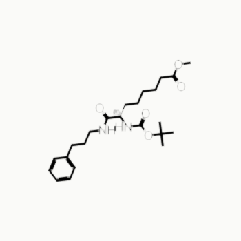 COC(=O)CCCCC[C@@H](NC(=O)OC(C)(C)C)C(=O)NCCCc1ccccc1